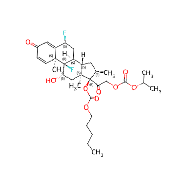 CCCCCOC(=O)O[C@]1(C(=O)COC(=O)OC(C)C)[C@H](C)C[C@H]2[C@@H]3C[C@H](F)C4=CC(=O)C=C[C@]4(C)[C@@]3(F)[C@@H](O)C[C@@]21C